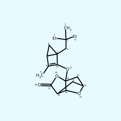 CCC(C)(CC)CC12CC1C(C)=C2OC12CC3CC(C(=O)O1)C2O3